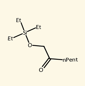 CCCCCC(=O)CO[Si](CC)(CC)CC